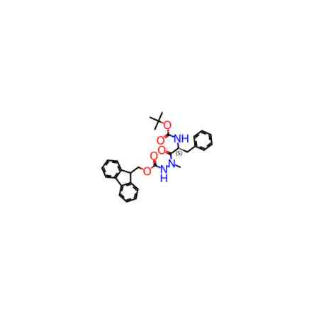 CN(NC(=O)OCC1c2ccccc2-c2ccccc21)C(=O)[C@H](Cc1ccccc1)NC(=O)OC(C)(C)C